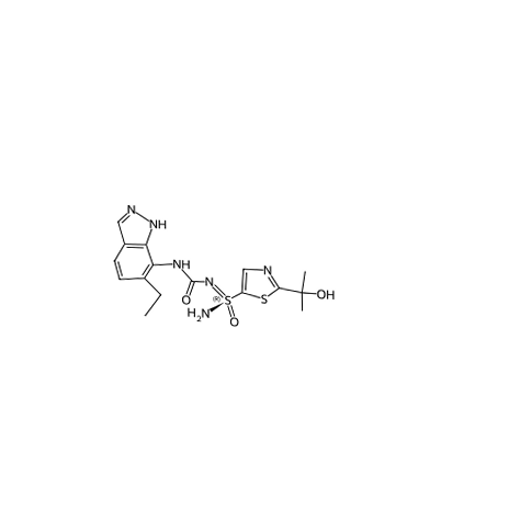 CCc1ccc2cn[nH]c2c1NC(=O)N=[S@@](N)(=O)c1cnc(C(C)(C)O)s1